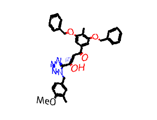 COc1ccc(Cn2nnnc2/C(O)=C/C(=O)c2cc(OCc3ccccc3)c(C)c(OCc3ccccc3)c2)cc1C